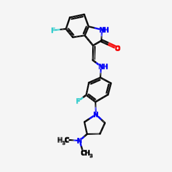 CN(C)C1CCN(c2ccc(NC=C3C(=O)Nc4ccc(F)cc43)cc2F)C1